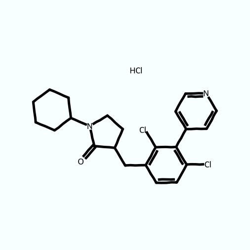 Cl.O=C1C(Cc2ccc(Cl)c(-c3ccncc3)c2Cl)CCN1C1CCCCC1